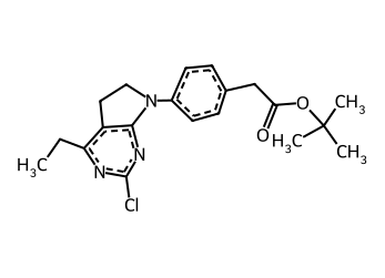 CCc1nc(Cl)nc2c1CCN2c1ccc(CC(=O)OC(C)(C)C)cc1